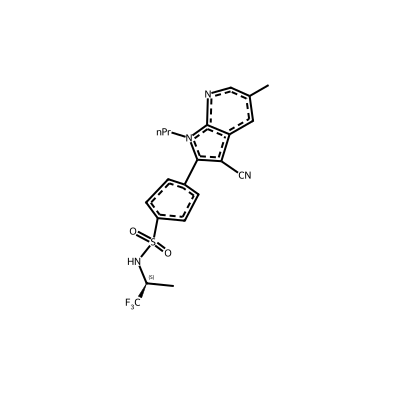 CCCn1c(-c2ccc(S(=O)(=O)N[C@@H](C)C(F)(F)F)cc2)c(C#N)c2cc(C)cnc21